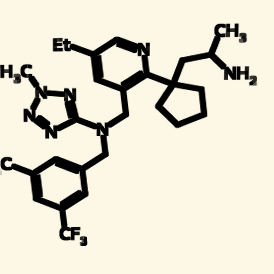 CCc1cnc(C2(CC(C)N)CCCC2)c(CN(Cc2cc(C(F)(F)F)cc(C(F)(F)F)c2)c2nnn(C)n2)c1